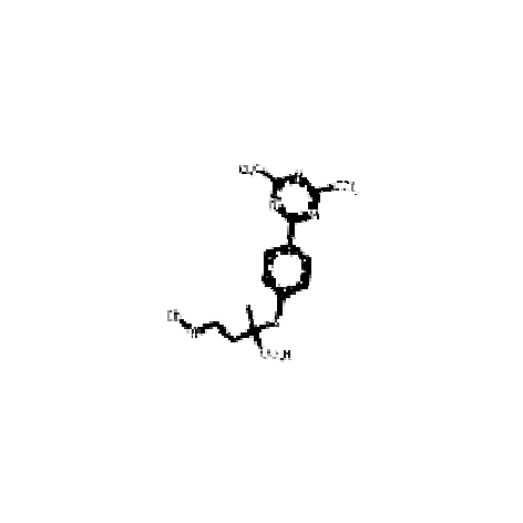 CCOCCC(C)(Sc1ccc(-c2nc(C(Cl)(Cl)Cl)nc(C(Cl)(Cl)Cl)n2)cc1)C(=O)O